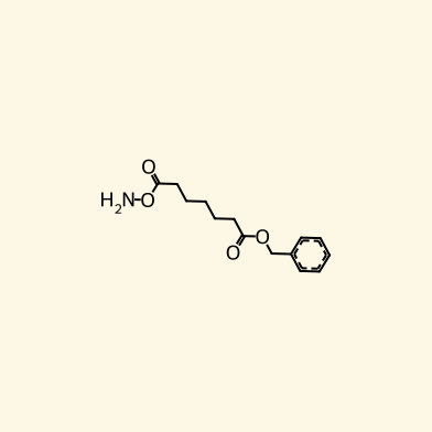 NOC(=O)CCCCCC(=O)OCc1ccccc1